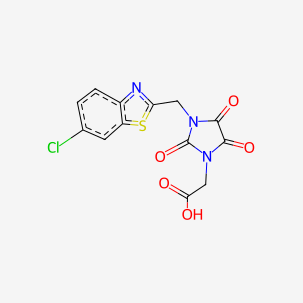 O=C(O)CN1C(=O)C(=O)N(Cc2nc3ccc(Cl)cc3s2)C1=O